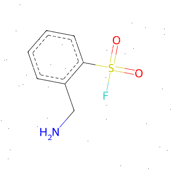 NCc1ccccc1S(=O)(=O)F